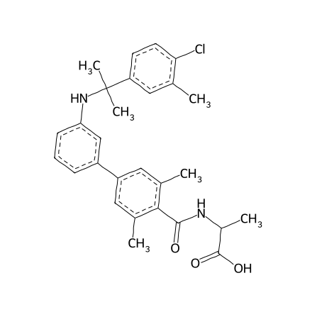 Cc1cc(C(C)(C)Nc2cccc(-c3cc(C)c(C(=O)NC(C)C(=O)O)c(C)c3)c2)ccc1Cl